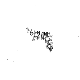 CCCOc1cnc(C(=O)Nc2cc(-c3ccc(F)nc3)ccc2N)cc1C